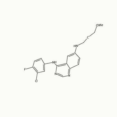 COCCCNc1ccc2ncnc(Nc3ccc(F)c(Cl)c3)c2c1